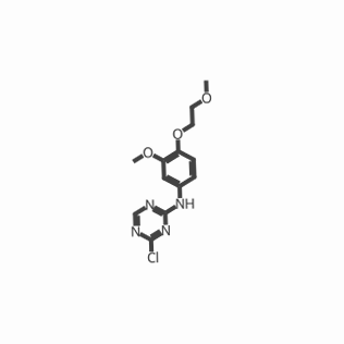 COCCOc1ccc(Nc2ncnc(Cl)n2)cc1OC